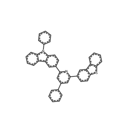 c1ccc(-c2cc(-c3ccc4sc5ccccc5c4c3)nc(-c3ccc4c(c3)c3ccccc3n4-c3ccccc3)c2)cc1